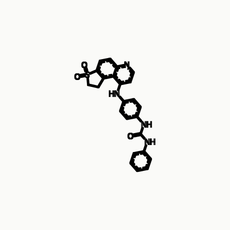 O=C(Nc1ccccc1)Nc1ccc(Nc2ccnc3ccc4c(c23)CCS4(=O)=O)cc1